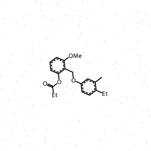 CCC(=O)Oc1cccc(OC)c1COc1ccc(CC)c(C)c1